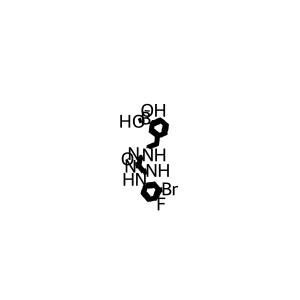 N=C(Nc1ccc(F)c(Br)c1)c1nonc1NCCc1cccc(B(O)O)c1